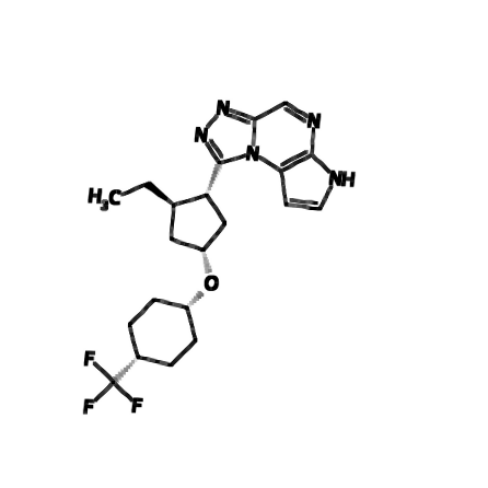 CC[C@@H]1C[C@@H](O[C@H]2CC[C@@H](C(F)(F)F)CC2)C[C@H]1c1nnc2cnc3[nH]ccc3n12